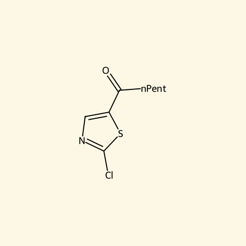 CCCCCC(=O)c1cnc(Cl)s1